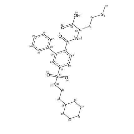 CSCC[C@H](NC(=O)c1ccc(S(=O)(=O)NCCC2CCCCC2)cc1-c1ccccc1)C(=O)O